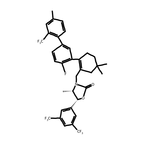 Cc1ccc(-c2ccc(F)c(C3=C(CN4C(=O)O[C@H](c5cc(C(F)(F)F)cc(C(F)(F)F)c5)[C@@H]4C)CC(C)(C)CC3)c2)c(C(F)(F)F)c1